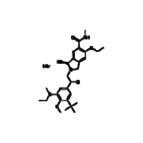 Br.CCOc1cc2c(cc1C(=O)NC)C(=N)N(CC(=O)c1cc(N(C)CC)c(OC)c(C(C)(C)C)c1)C2